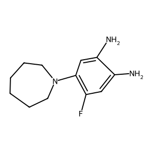 Nc1cc(F)c(N2CCCCCC2)cc1N